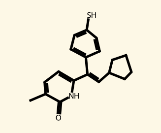 Cc1ccc(/C(=C/C2CCCC2)c2ccc(S)cc2)[nH]c1=O